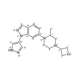 CC1CN(C2COC2)CCN1c1ccc2cnn(-c3cn[nH]c3)c2c1